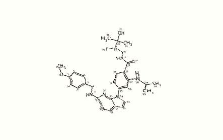 COc1ccc(CNc2ncc3ccn(-c4cc(NC(C)C)c(C(=O)NCC(F)C(C)(C)O)cn4)c3n2)cc1